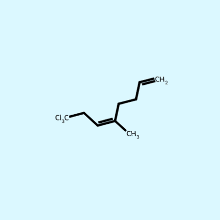 C=CCCC(C)=CCC(Cl)(Cl)Cl